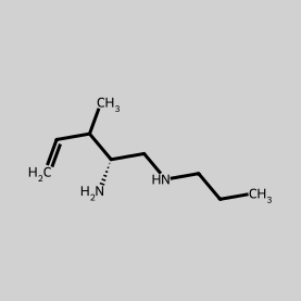 C=CC(C)[C@@H](N)CNCCC